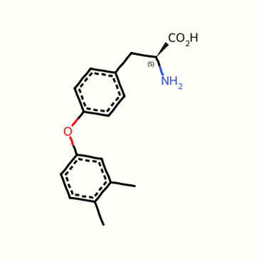 Cc1ccc(Oc2ccc(C[C@H](N)C(=O)O)cc2)cc1C